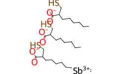 CCCCCCC(CS)C(=O)[O-].CCCCCCC(CS)C(=O)[O-].CCCCCCC(CS)C(=O)[O-].[Sb+3]